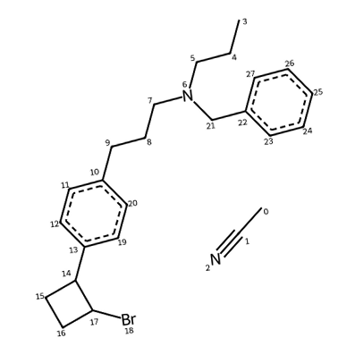 CC#N.CCCN(CCCc1ccc(C2CCC2Br)cc1)Cc1ccccc1